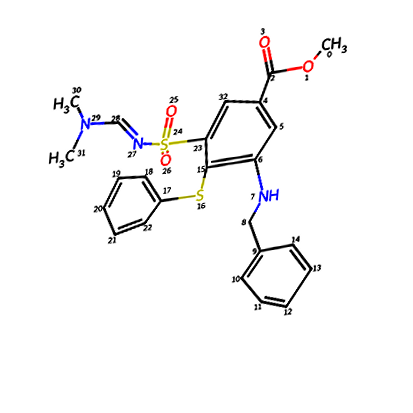 COC(=O)c1cc(NCc2ccccc2)c(Sc2ccccc2)c(S(=O)(=O)/N=C/N(C)C)c1